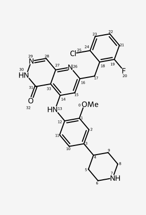 COc1cc(C2CCNCC2)ccc1Nc1cc(Cc2c(F)cccc2Cl)nc2cn[nH]c(=O)c12